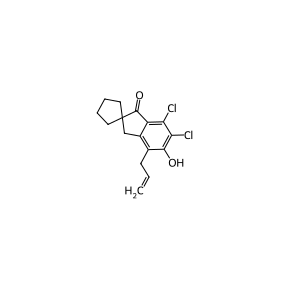 C=CCc1c(O)c(Cl)c(Cl)c2c1CC1(CCCC1)C2=O